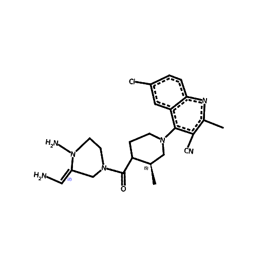 Cc1nc2ccc(Cl)cc2c(N2CCC(C(=O)N3CCN(N)/C(=C\N)C3)[C@H](C)C2)c1C#N